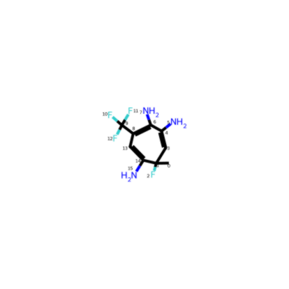 CC1(F)C=C(N)C(N)=C(C(F)(F)F)C=C1N